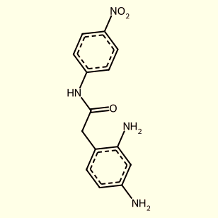 Nc1ccc(CC(=O)Nc2ccc([N+](=O)[O-])cc2)c(N)c1